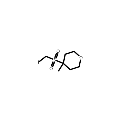 CC1(S(=O)(=O)CI)CCOCC1